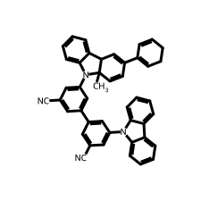 CC12C=CC(C3=CCCC=C3)=CC1c1ccccc1N2c1cc(C#N)cc(-c2cc(C#N)cc(-n3c4ccccc4c4ccccc43)c2)c1